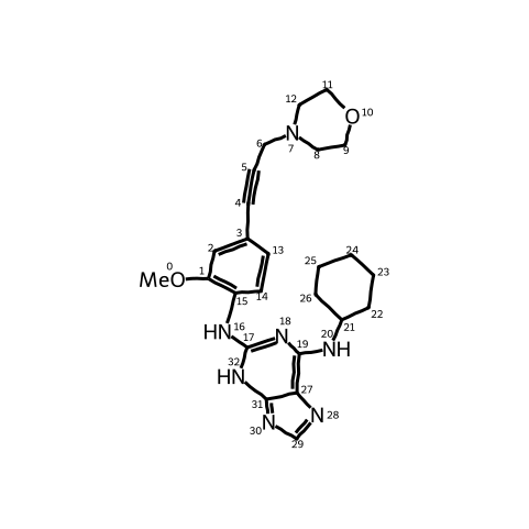 COc1cc(C#CCN2CCOCC2)ccc1Nc1nc(NC2CCCCC2)c2ncnc-2[nH]1